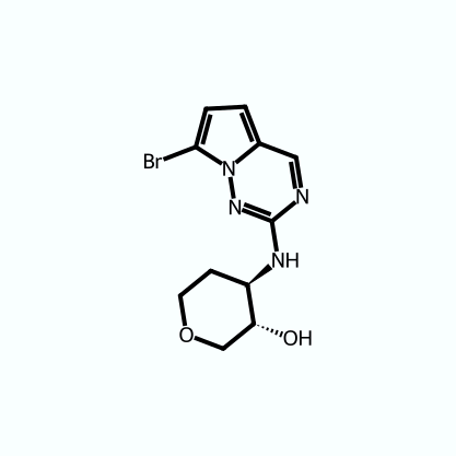 O[C@@H]1COCC[C@H]1Nc1ncc2ccc(Br)n2n1